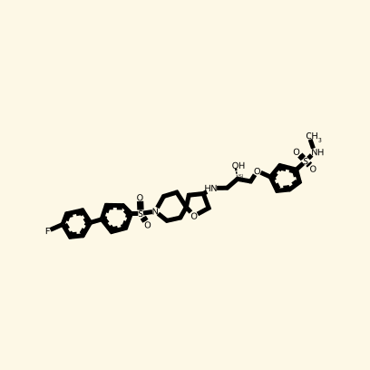 CNS(=O)(=O)c1cccc(OC[C@@H](O)CNC2COC3(CCN(S(=O)(=O)c4ccc(-c5ccc(F)cc5)cc4)CC3)C2)c1